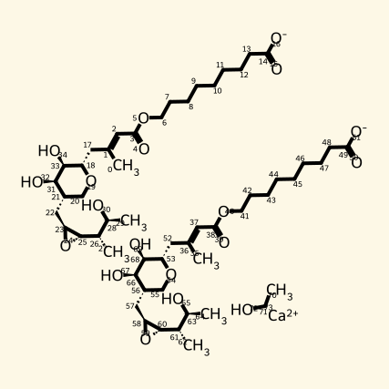 C/C(=C\C(=O)OCCCCCCCCC(=O)[O-])C[C@@H]1OC[C@H](C[C@@H]2O[C@H]2[C@@H](C)[C@H](C)O)[C@@H](O)[C@H]1O.C/C(=C\C(=O)OCCCCCCCCC(=O)[O-])C[C@@H]1OC[C@H](C[C@@H]2O[C@H]2[C@@H](C)[C@H](C)O)[C@@H](O)[C@H]1O.CCO.[Ca+2]